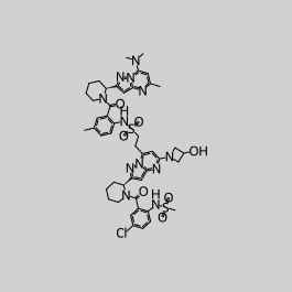 Cc1ccc(NS(=O)(=O)CCc2cc(N3CC(O)C3)nc3cc([C@@H]4CCCCN4C(=O)c4cc(Cl)ccc4NS(C)(=O)=O)nn23)c(C(=O)N2CCCC[C@H]2c2cc3nc(C)cc(N(C)C)n3n2)c1